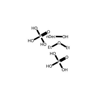 CCCCCCCCCCO.CCOCC.O=P(O)(O)O.O=P(O)(O)O